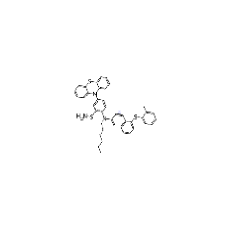 C=C(/C=C\c1ccccc1Sc1ccccc1C)N(CCCCCC)c1ccc(N2c3ccccc3Sc3ccccc32)cc1SN